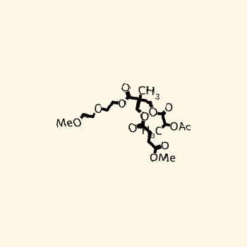 COCCOCCOC(=O)C(C)(COC(=O)CCC(=O)OC)COC(=O)C(C)OC(C)=O